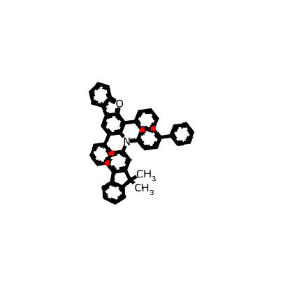 CC1(C)c2ccccc2-c2ccc(N(c3ccc(-c4ccccc4)cc3)c3c(-c4ccccc4)cc4c(oc5ccccc54)c3-c3ccccc3)cc21